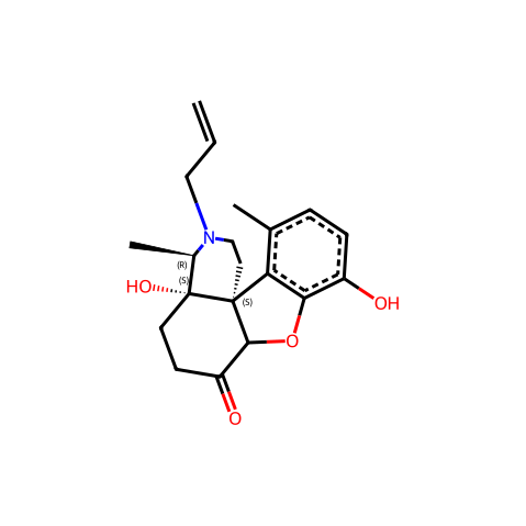 C=CCN1CC[C@]23c4c(C)ccc(O)c4OC2C(=O)CC[C@@]3(O)[C@H]1C